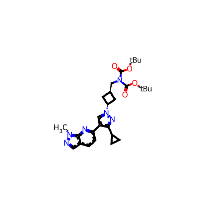 Cn1ncc2ccc(-c3cn([C@H]4C[C@H](CN(C(=O)OC(C)(C)C)C(=O)OC(C)(C)C)C4)nc3C3CC3)nc21